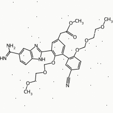 COCCOCOc1ccc(C#N)cc1-c1cc(CC(=O)OC)cc(-c2nc3cc(C(=N)N)ccc3[nH]2)c1OCOCCOC